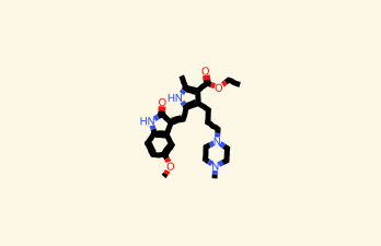 CCOC(=O)c1c(C)[nH]c(/C=C2\C(=O)Nc3ccc(OC)cc32)c1CCCN1CCN(C)CC1